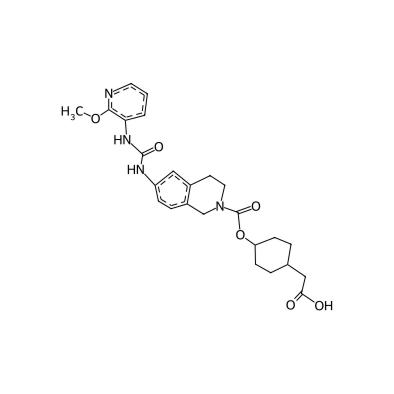 COc1ncccc1NC(=O)Nc1ccc2c(c1)CCN(C(=O)OC1CCC(CC(=O)O)CC1)C2